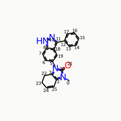 Cn1c2c(n(-c3ccc4[nH]nc(-c5ccccc5)c4c3)c1=O)CCC=C2